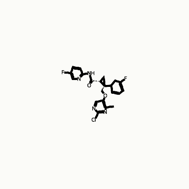 Cc1nc(Cl)ncc1OC[C@@]1(C2C=CC=C(F)C2)C[C@H]1C(=O)Nc1ccc(F)cn1